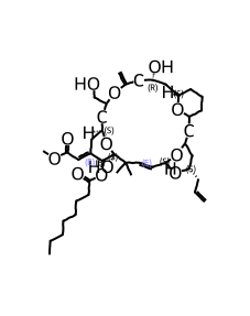 C=CC[C@H]1CC2CC3CCC[C@@H](C[C@@H](O)CC(=C)OC(CO)C[C@@H]4C/C(=C\C(=O)OC)[C@H](OC(=O)CCCCCCC)[C@@](O)(O4)C(C)(C)/C=C/[C@H](O2)O1)O3